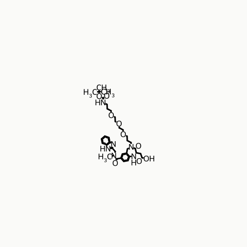 CN(Cc1nc2ccccc2[nH]1)C(=O)c1ccc2c(c1)CN(CCCOCCOCCOCCCNC(=O)OC(C)(C)C)C(=O)C(CC(=O)O)N2